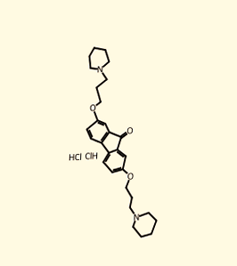 Cl.Cl.O=C1c2cc(OCCCN3CCCCC3)ccc2-c2ccc(OCCCN3CCCCC3)cc21